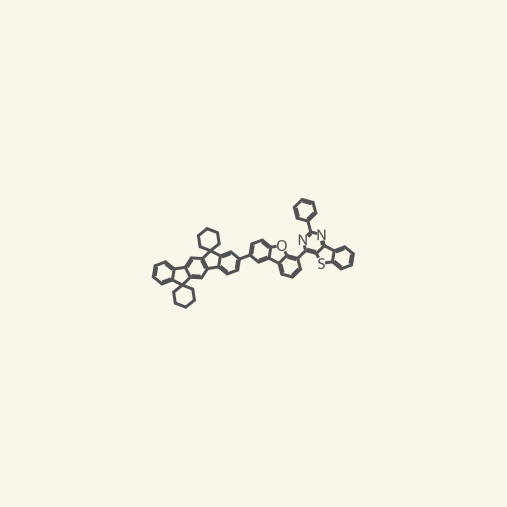 c1ccc(-c2nc(-c3cccc4c3oc3ccc(-c5ccc6c(c5)C5(CCCCC5)c5cc7c(cc5-6)C5(CCCCC5)c5ccccc5-7)cc34)c3sc4ccccc4c3n2)cc1